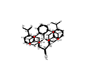 CC(C)c1cccc(C(C)C)c1-c1cccc(-c2c(C(C)C)cccc2C(C)C)c1P1C2(CCCCC2)CC(=O)CC12CCCCC2